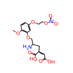 COc1ccc(OCCO[N+](=O)[O-])cc1OCC(N)C/C(=C/C(=O)O)C(=O)O